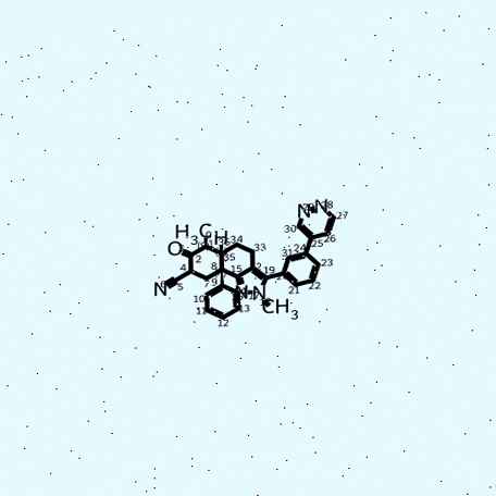 C[C@@H]1C(=O)C(C#N)C[C@@]2(c3ccccc3)c3nn(C)c(-c4cccc(-c5ccnnc5)c4)c3CC[C@@H]12